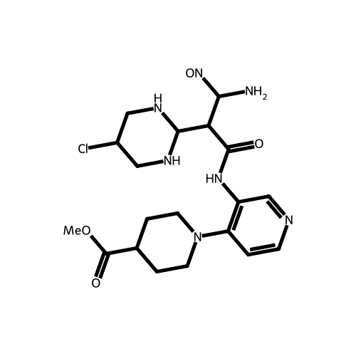 COC(=O)C1CCN(c2ccncc2NC(=O)C(C(N)N=O)C2NCC(Cl)CN2)CC1